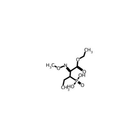 CCOC(=O)C(=NOC)C(CC)P(=O)(O)O